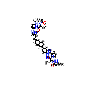 COC(=O)N[C@H](C(=O)N1CCC[C@H]1c1nc(CCc2ccc3cc(-c4ccc5[nH]c([C@@H]6CCCN6C(=O)[C@@H](NC(=O)OC)C(C)C)nc5c4)ccc3c2)c[nH]1)C(C)C